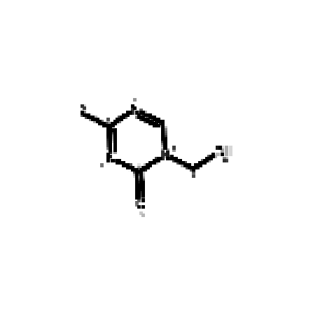 Cc1ncn(CO)c(=O)n1